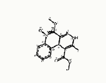 COC(=O)C1=NNC(C)=C(C(=O)OC)C1c1ccccc1[N+](=O)[O-]